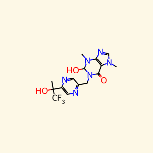 CN1c2ncn(C)c2C(=O)N(Cc2cnc(C(C)(O)C(F)(F)F)cn2)C1O